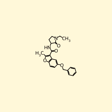 CCN1CCC(NC(=O)c2c(C)oc3ccc(OCc4ccccc4)cc23)C1=O